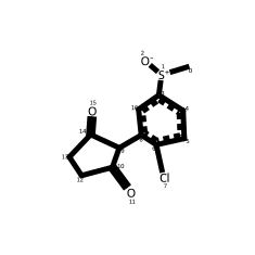 C[S+]([O-])c1ccc(Cl)c(C2C(=O)CCC2=O)c1